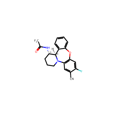 N#Cc1cc2c(cc1F)Oc1ccccc1[C@@H]1[C@@H](NC(=O)C(F)(F)F)CCCN21